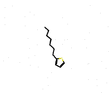 [CH2]CCCCCCc1cccs1